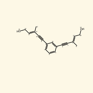 CC(C#Cc1cccc(C#CC(C)=CCO)c1)=CCO